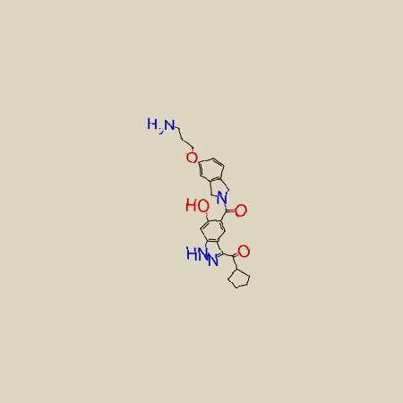 NCCCOc1ccc2c(c1)CN(C(=O)c1cc3c(C(=O)C4CCCC4)n[nH]c3cc1O)C2